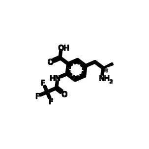 C[C@@H](N)Cc1ccc(NC(=O)C(F)(F)F)c(C(=O)O)c1